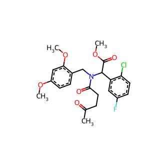 COC(=O)C(c1cc(F)ccc1Cl)N(Cc1ccc(OC)cc1OC)C(=O)CCC(C)=O